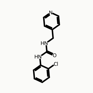 O=C(NCc1ccncc1)Nc1ccccc1Cl